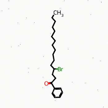 CCCCCCCCCCCCC(Br)CCC(=O)c1ccccc1